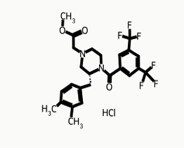 COC(=O)CN1CCN(C(=O)c2cc(C(F)(F)F)cc(C(F)(F)F)c2)[C@H](Cc2ccc(C)c(C)c2)C1.Cl